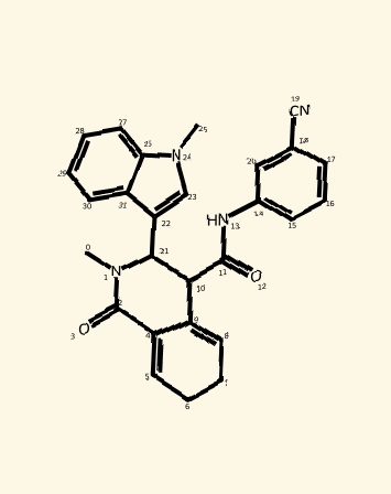 CN1C(=O)C2=CCCC=C2C(C(=O)Nc2cccc(C#N)c2)C1c1cn(C)c2ccccc12